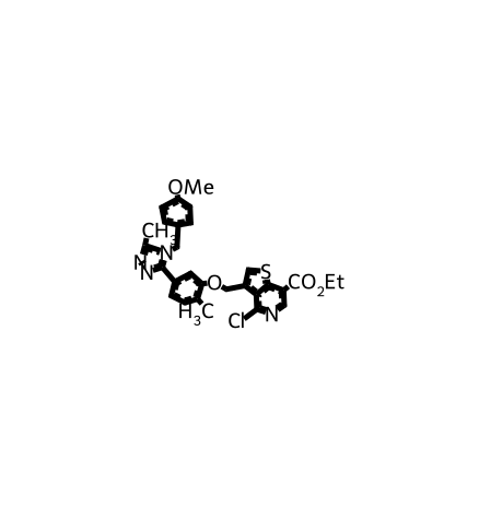 CCOC(=O)c1cnc(Cl)c2c(COc3cc(-c4nnc(C)n4Cc4ccc(OC)cc4)ccc3C)csc12